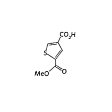 COC(=O)c1cc(C(=O)O)cs1